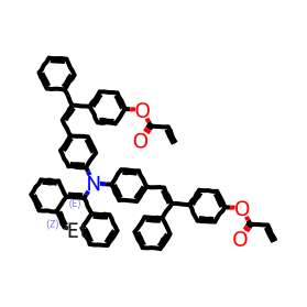 C=CC(=O)Oc1ccc(C(=Cc2ccc(N(/C(c3ccccc3)=c3\cccc\c3=C\CC)c3ccc(C=C(c4ccccc4)c4ccc(OC(=O)C=C)cc4)cc3)cc2)c2ccccc2)cc1